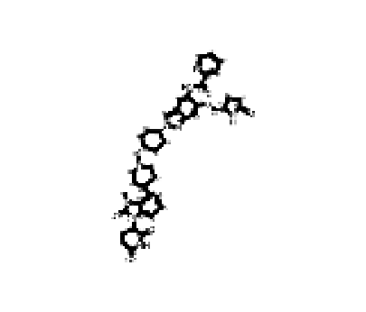 Cn1c(=O)n(C2CCC(=O)NC2=O)c2cccc(C3CCN(C[C@H]4CC[C@H](n5cc6cc(NC(=O)c7ccccn7)c(OC[C@@H]7CCC(=O)N7)cc6n5)CC4)CC3)c21